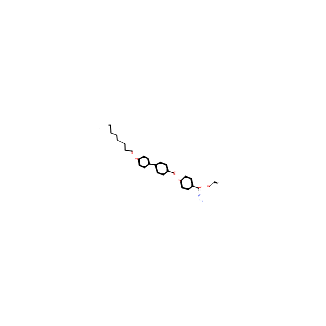 C=CCO[C@@H](C#N)c1ccc(OC(=O)c2ccc(-c3ccc(OCCCCCCCC)cc3)cc2)cc1